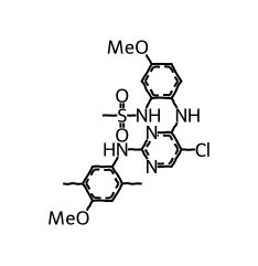 COc1ccc(Nc2nc(Nc3cc(C)c(OC)cc3C)ncc2Cl)c(NS(C)(=O)=O)c1